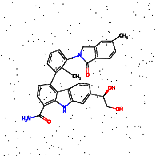 Cc1ccc2c(c1)CN(c1cccc(-c3ccc(C(N)=O)c4[nH]c5cc([C@@H](O)CO)ccc5c34)c1C)C2=O